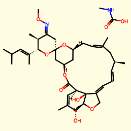 CNC(=O)O.CO/N=C1/C[C@]2(C[C@@H]3C[C@@H](C/C=C(\C)C[C@@H](C)/C=C/C=C4\CO[C@@H]5[C@H](O)C(C)=C[C@@H](C(=O)O3)[C@]45O)O2)O[C@H](/C(C)=C/C(C)C)[C@H]1C